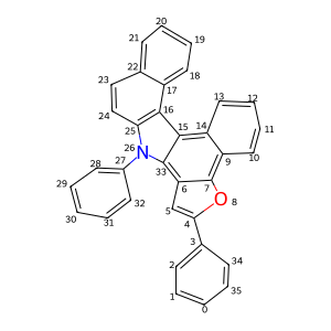 c1ccc(-c2cc3c(o2)c2ccccc2c2c4c5ccccc5ccc4n(-c4ccccc4)c32)cc1